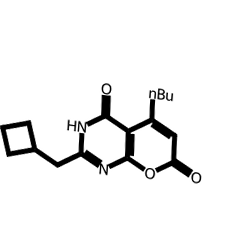 CCCCc1cc(=O)oc2nc(CC3CCC3)[nH]c(=O)c12